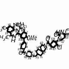 COc1cc2nc(C)nc(N[C@H](C)c3cc(N)cc(C(F)(F)F)c3)c2cc1C1=CCC(C(=O)N2CCN(CC3CCC4(CC3)CCN(C(=O)c3ccc(Cl)c(-n5ccc(=O)[nH]c5=O)c3)CC4)CC2)CC1